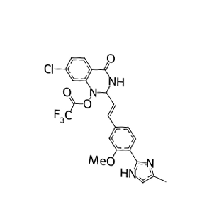 COc1cc(C=CC2NC(=O)c3ccc(Cl)cc3N2OC(=O)C(F)(F)F)ccc1-c1nc(C)c[nH]1